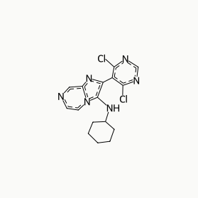 Clc1ncnc(Cl)c1-c1nc2cnccn2c1NC1CCCCC1